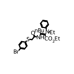 CCCC/C(NC(=O)CSc1ccc(Br)cc1)=C(/C(=O)OCC)N(CC)c1ccccc1